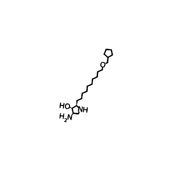 N[C@H]1CN[C@H](CCCCCCCCCCOCC2CCCC2)[C@H]1O